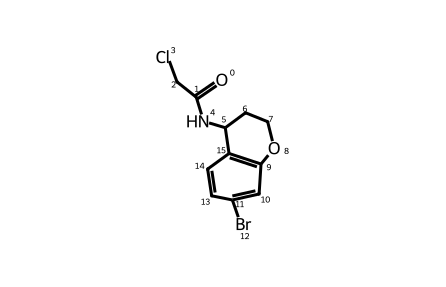 O=C(CCl)NC1CCOc2cc(Br)ccc21